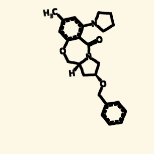 Cc1cc2c(c(N3CCCC3)c1)C(=O)N1C[C@@H](OCc3ccccc3)C[C@@H]1CO2